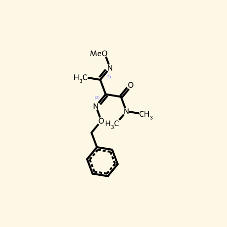 CO/N=C(C)/C(=N/OCc1ccccc1)C(=O)N(C)C